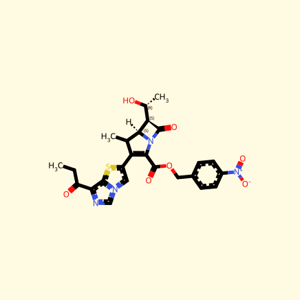 CCC(=O)c1ncn2cc(C3=C(C(=O)OCc4ccc([N+](=O)[O-])cc4)N4C(=O)[C@H]([C@@H](C)O)[C@@H]4C3C)sc12